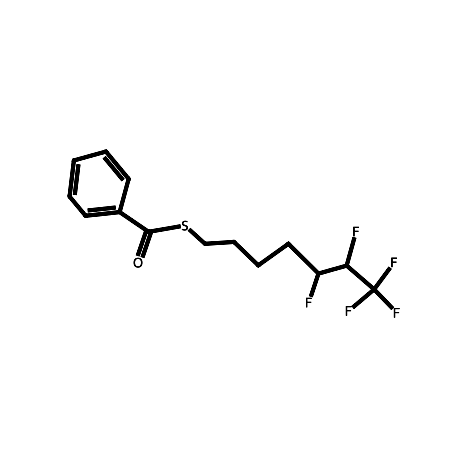 O=C(SCCCCC(F)C(F)C(F)(F)F)c1ccccc1